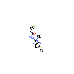 CCSc1ccc2nc(NC(=O)CC3CC(F)(F)C3)n(C3CCC3)c2n1